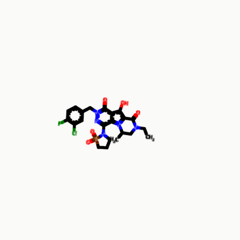 CCN1CC(C)n2c(c(O)c3c(=O)n(Cc4ccc(F)c(Cl)c4)nc(N4CCCS4(=O)=O)c32)C1=O